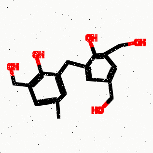 Cc1cc(CO)c(O)c(Cc2cc(CO)cc(CO)c2O)c1